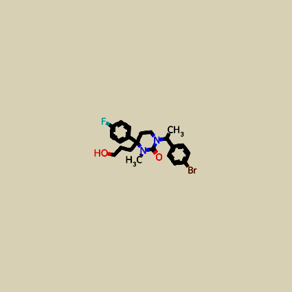 CC(c1ccc(Br)cc1)N1CCC(CCCO)(c2ccc(F)cc2)N(C)C1=O